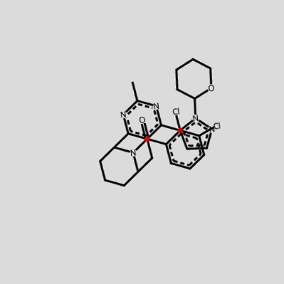 Cc1nc(-c2ccnn2C2CCCCO2)c2c(n1)C1CCCC(C2)N1C(=O)c1cccc(Cl)c1Cl